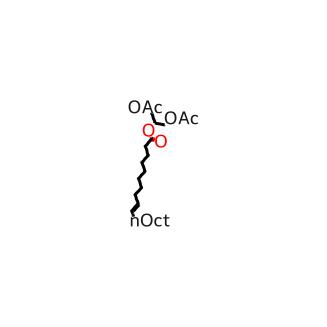 CCCCCCCC/C=C/CCCCCCCC(=O)OC(COC(C)=O)COC(C)=O